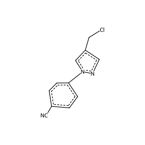 N#Cc1ccc(-n2cc(CCl)cn2)cc1